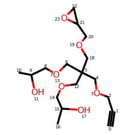 C#CCOCC(COCC(C)O)(COCC(C)O)COCC1CO1